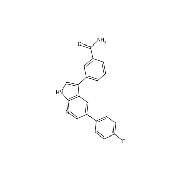 NC(=O)c1cccc(-c2c[nH]c3ncc(-c4ccc(F)cc4)cc23)c1